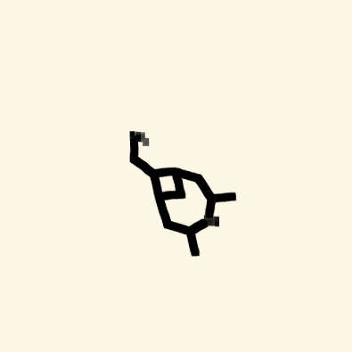 CC1CC2CC(CC(C)N1)C2CN